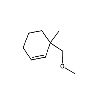 COCC1(C)C=CCCC1